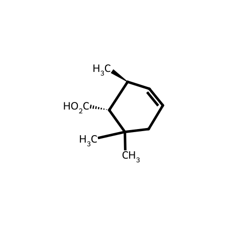 C[C@H]1C=CCC(C)(C)[C@@H]1C(=O)O